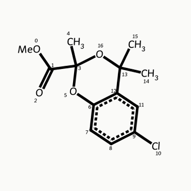 COC(=O)C1(C)Oc2ccc(Cl)cc2C(C)(C)O1